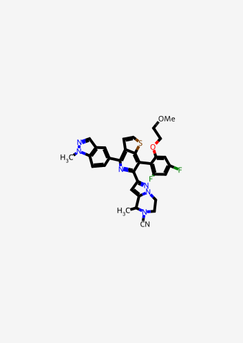 COCCOc1cc(F)cc(F)c1-c1c(-c2cc3n(n2)CCN(C#N)C3C)nc(-c2ccc3c(cnn3C)c2)c2ccsc12